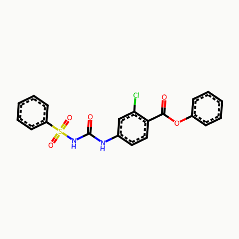 O=C(Nc1ccc(C(=O)Oc2ccccc2)c(Cl)c1)NS(=O)(=O)c1ccccc1